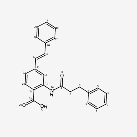 O=C(CCc1ccccc1)Nc1cc(C=Cc2ccccc2)ccc1C(=O)O